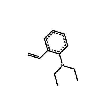 C=Cc1ccccc1P(CC)CC